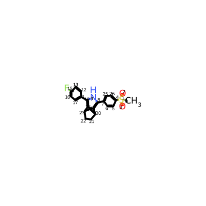 CS(=O)(=O)c1ccc(-c2[nH]c(-c3ccc(F)cc3)c3c2C2CCC3C2)cc1